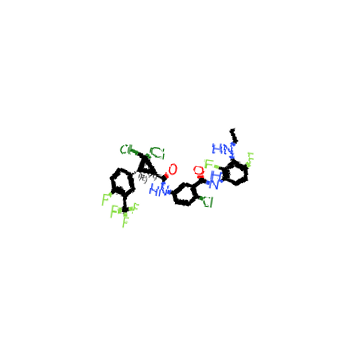 CCNc1c(F)ccc(NC(=O)c2cc(NC(=O)[C@H]3[C@H](c4ccc(F)c(C(F)(F)F)c4)C3(Cl)Cl)ccc2Cl)c1F